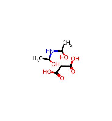 CC(O)NC(C)O.O=C(O)CC(=O)O